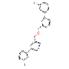 Clc1cccc(-c2cccc(COCc3cccc(-c4cccc(Cl)c4)c3)c2)c1